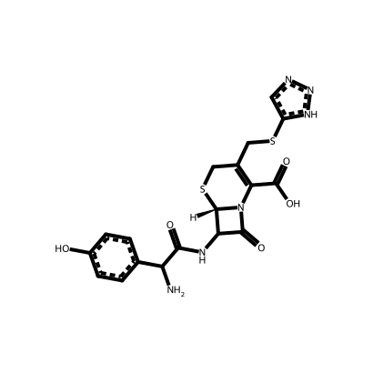 NC(C(=O)NC1C(=O)N2C(C(=O)O)=C(CSc3cnn[nH]3)CS[C@@H]12)c1ccc(O)cc1